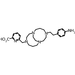 Nc1ccc(CCN2CCCN3CCN(CCCN(Cc4cccc(C(=O)O)n4)CC3)CC2)cc1